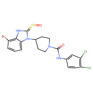 O=S=c1[nH]c2c(Br)cccc2n1C1CCN(C(=O)Nc2ccc(Cl)c(Cl)c2)CC1